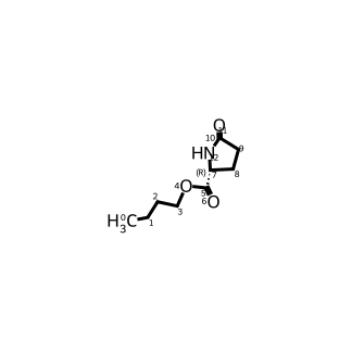 CCCCOC(=O)[C@H]1CCC(=O)N1